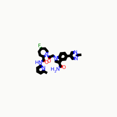 Cc1cccc(NC(=O)C2CCC(F)CCN2C(=O)Cn2cc(C(N)=O)c3cc(-c4cnc(C)nc4)ccc32)n1